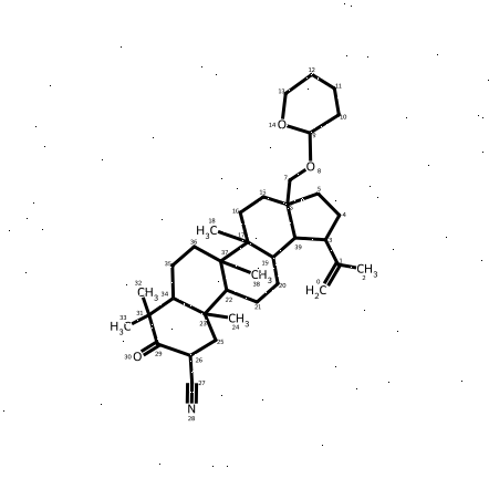 C=C(C)C1CCC2(COC3CCCCO3)CCC3(C)C(CCC4C5(C)CC(C#N)C(=O)C(C)(C)C5CCC43C)C12